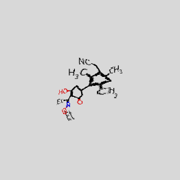 CCON=C(CC)C1=C(O)CC(c2c(C)cc(C)c(CC#N)c2C)CC1=O